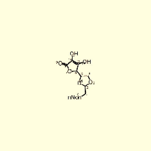 CCCCCCCCCCC1OC[C@@H]([C@H]2OC(=O)C(O)=C2O)O1